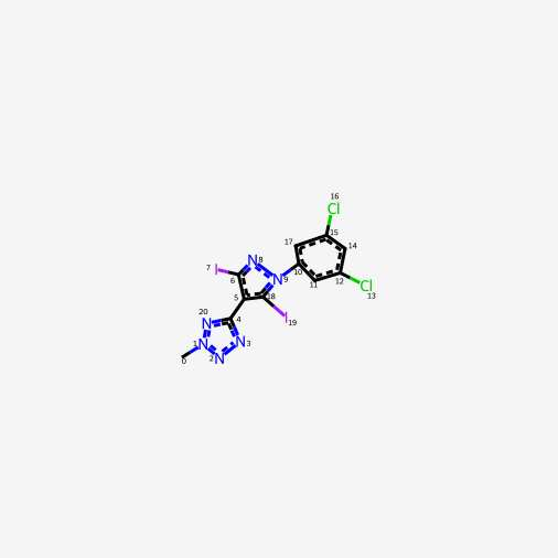 Cn1nnc(-c2c(I)nn(-c3cc(Cl)cc(Cl)c3)c2I)n1